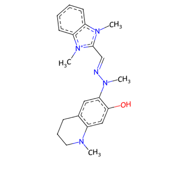 CN1CCCc2cc(N(C)/N=C/c3n(C)c4ccccc4[n+]3C)c(O)cc21